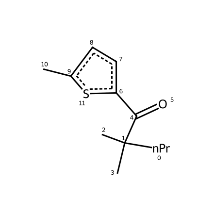 CCCC(C)(C)C(=O)c1ccc(C)s1